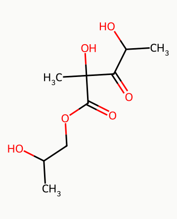 CC(O)COC(=O)C(C)(O)C(=O)C(C)O